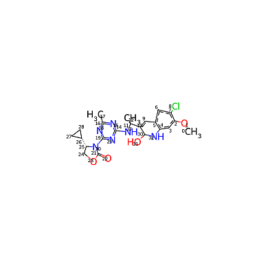 COc1cc2c(cc1Cl)C=C([C@H](C)Nc1nc(C)nc(N3C(=O)OC[C@@H]3C3CC3)n1)C(O)N2